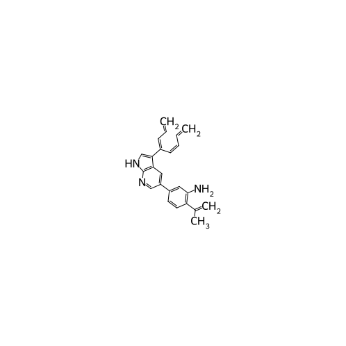 C=C/C=C\C(=C/C=C)c1c[nH]c2ncc(-c3ccc(C(=C)C)c(N)c3)cc12